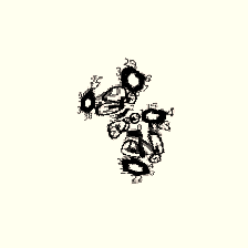 O=P(CCS(=O)(=O)CCP(=O)(Oc1ccccc1)Oc1ccccc1)(Oc1ccccc1)Oc1ccccc1